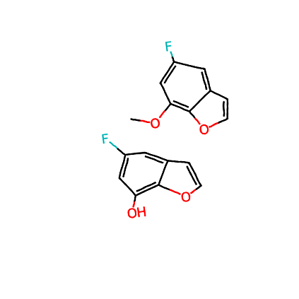 COc1cc(F)cc2ccoc12.Oc1cc(F)cc2ccoc12